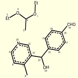 CCOC(C)OCC.Cc1ccncc1C(O)c1ccc(C=O)cc1